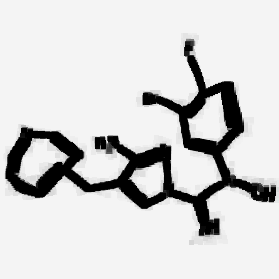 N=C(N(O)c1ccc(F)c(Br)c1)n1cc(Cc2ccncc2)c(N)n1